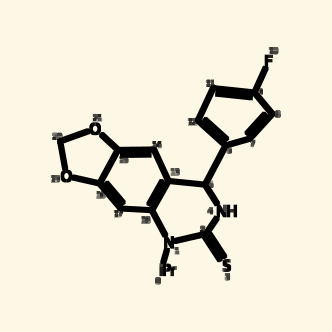 CC(C)N1C(=S)NC(c2ccc(F)cc2)c2cc3c(cc21)OCO3